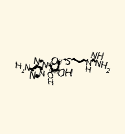 N=C(N)NCCCSC[C@H]1O[C@@H](n2cnc3c(N)ncnc32)[C@H](O)[C@H]1O